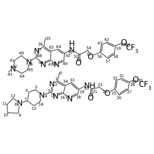 Cc1nc(N2CCC(N3CCCC3)CC2)nc2ncc(NC(=O)COc3ccc(OC(F)(F)F)cc3)cc12.Cc1nc(N2CCN(C)CC2)nc2ncc(NC(=O)COc3ccc(OC(F)(F)F)cc3)cc12